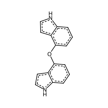 c1cc(Oc2cccc3[nH]ccc23)c2cc[nH]c2c1